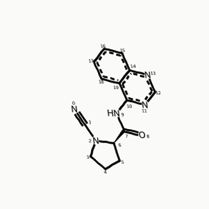 N#CN1CCC[C@@H]1C(=O)Nc1ncnc2ccccc12